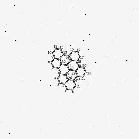 c1cc2ccc3c4ccc5cccc6c7cccc8c9cccc%10c(c1)c2c3c(c%109)c(c78)c4c56